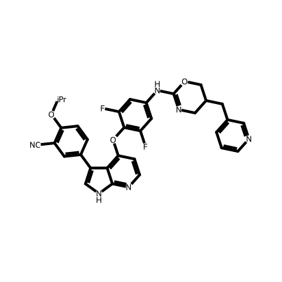 CC(C)Oc1ccc(-c2c[nH]c3nccc(Oc4c(F)cc(NC5=NCC(Cc6cccnc6)CO5)cc4F)c23)cc1C#N